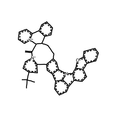 C=C1C2C(CCc3cc4c(cc3-c3cc(C(C)(C)C)cc[n+]31)c1cccc3c5ccc6c7ccccc7oc6c5n4c13)c1ccccc1-c1cccc[n+]12